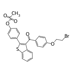 CS(=O)(=O)Oc1ccc(-c2sc3ccccc3c2C(=O)c2ccc(OCCBr)cc2)cc1